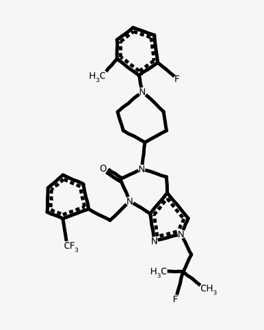 Cc1cccc(F)c1N1CCC(N2Cc3cn(CC(C)(C)F)nc3N(Cc3ccccc3C(F)(F)F)C2=O)CC1